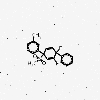 Cc1cccc(C2(S(C)(=O)=O)C=CC(F)(c3ccccc3)C(F)=C2)c1